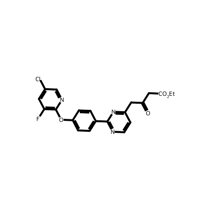 CCOC(=O)CC(=O)Cc1ccnc(-c2ccc(Oc3ncc(Cl)cc3F)cc2)n1